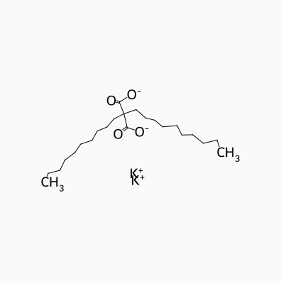 CCCCCCCCCCC(CCCCCCCCCC)(C(=O)[O-])C(=O)[O-].[K+].[K+]